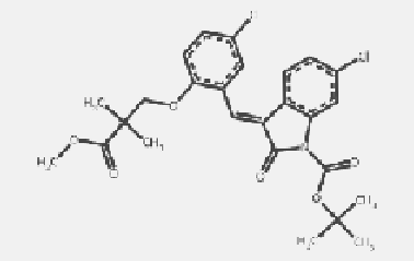 COC(=O)C(C)(C)COc1ccc(Cl)cc1C=C1C(=O)N(C(=O)OC(C)(C)C)c2cc(Cl)ccc21